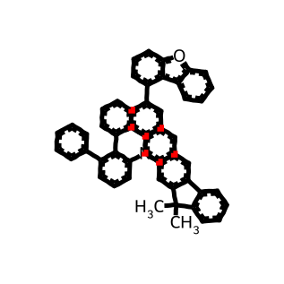 CC1(C)c2ccccc2-c2ccc(N(c3ccc(-c4cccc5oc6ccccc6c45)cc3)c3cccc(-c4ccccc4)c3-c3ccccc3-c3ccccc3)cc21